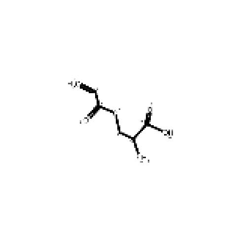 C=CC(=O)OCC(C)C(=O)O